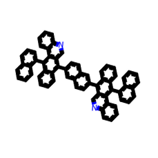 c1ccc2c(-c3c4ccccc4c(-c4ccc5cc(-c6c7ccccc7c(-c7cccc8ccccc78)c7c6cnc6ccccc67)ccc5c4)c4cnc5ccccc5c34)cccc2c1